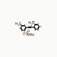 CNS(=O)(=O)c1ccc(C)cc1C#Cc1ccccc1C